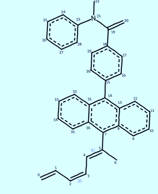 C=C/C=C\C=C(/C)c1c2ccccc2c(-c2ccc(C(=C)N(C)c3ccccc3)cc2)c2ccccc12